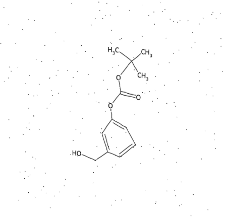 CC(C)(C)OC(=O)Oc1cccc(CO)c1